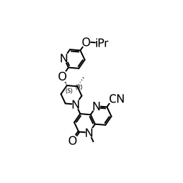 CC(C)Oc1ccc(O[C@H]2CCN(c3cc(=O)n(C)c4ccc(C#N)nc34)C[C@H]2C)nc1